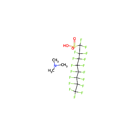 CN(C)C.O=S(=O)(O)C(F)(F)C(F)(F)C(F)(F)C(F)(F)C(F)(F)C(F)(F)C(F)(F)C(F)(F)F